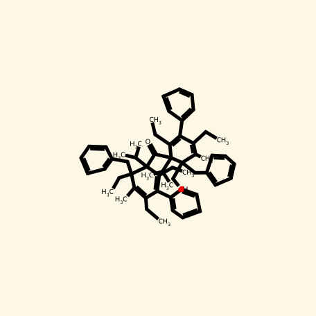 CCC1=C(C)C(CC)(Cc2ccccc2)C(C(=O)C2(C(C)C)C(CC)=C(c3ccccc3)C(CC)=C(C)C2(CC)Cc2ccccc2)(C(C)C)C(CC)=C1c1ccccc1